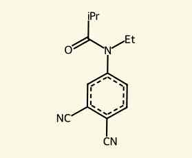 CCN(C(=O)C(C)C)c1ccc(C#N)c(C#N)c1